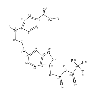 COC(=O)c1ccc(N(C)CCOc2ccc3c(c2)OCC3CC(=O)OC(=O)C(F)(F)F)cc1